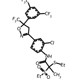 CCSC(C)(C(=O)Nc1ccc(C2=NOC(c3cc(C(F)(F)F)cc(C(F)(F)F)c3)(C(F)(F)F)C2)cc1Cl)S(=O)(=O)CC